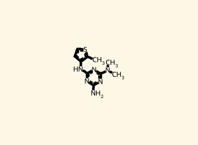 Cc1sccc1Nc1nc(N)nc(N(C)C)n1